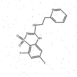 O=S1(=O)N=C(NCCc2ccccn2)Nc2cc(F)cc(F)c21